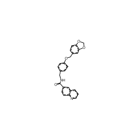 O=C(NCc1ccc(OCc2ccc3c(c2)OCO3)cc1)c1ccc2ncccc2c1